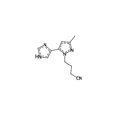 Cc1cc(-c2c[nH]cn2)n(CCCC#N)n1